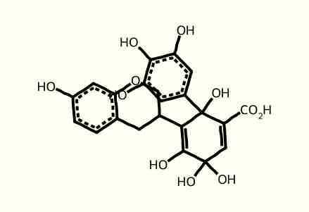 O=C(O)C1=CC(O)(O)C(O)=C(C2COc3cc(O)ccc3C2)C1(O)c1cc(O)c(O)c(O)c1